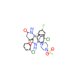 CS(=O)(=O)N1CCN(Cc2ccc(F)cc2[C@H]2NC(=O)C[C@@H](c3cccc(Cl)c3)[C@]23C(=O)Nc2cc(Cl)ccc23)CC1